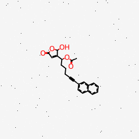 CC(=O)OC(CCCC#Cc1ccc2ccccc2c1)C1=CC(=O)OC1O